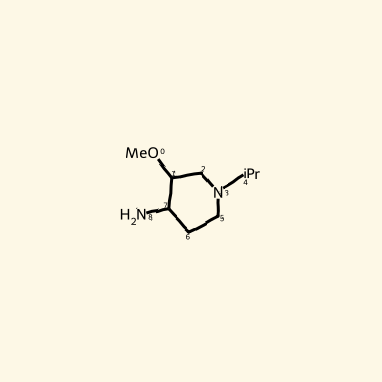 COC1CN(C(C)C)CCC1N